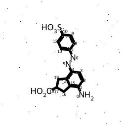 Nc1ccc(/N=N/c2ccc(S(=O)(=O)O)cc2)c2c1CC(C(=O)O)C2